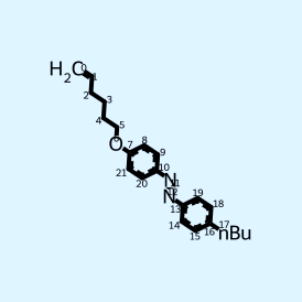 C=CCCCCOc1ccc(N=Nc2ccc(CCCC)cc2)cc1